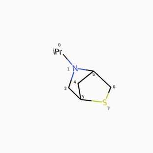 CC(C)N1CC2CC1CS2